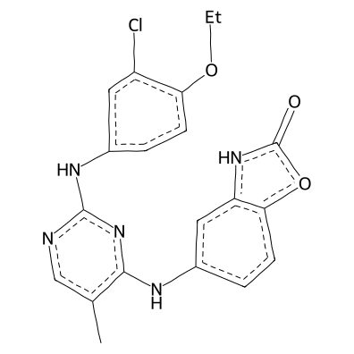 CCOc1ccc(Nc2ncc(C)c(Nc3ccc4oc(=O)[nH]c4c3)n2)cc1Cl